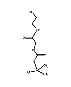 CC(C)(C)OC(=O)NCC(=O)NCCO